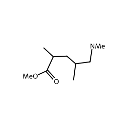 CNCC(C)CC(C)C(=O)OC